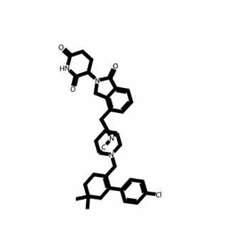 CC1(C)CCC(CN2CC3CCC2CN3Cc2cccc3c2CN(C2CCC(=O)NC2=O)C3=O)=C(c2ccc(Cl)cc2)C1